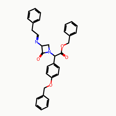 O=C(OCc1ccccc1)C(c1ccc(OCc2ccccc2)cc1)N1CC(N=CCc2ccccc2)C1=O